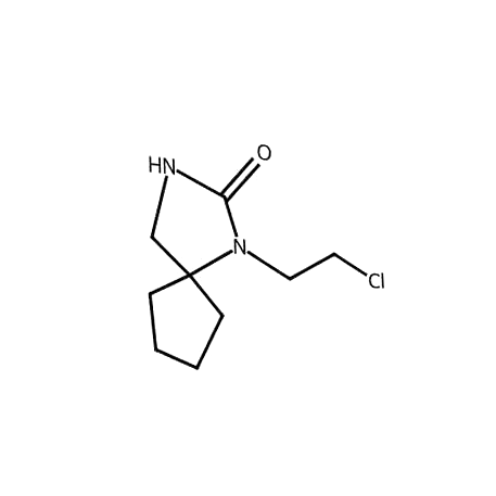 O=C1NCC2(CCCC2)N1CCCl